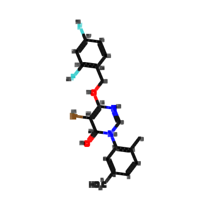 Cc1ccc(C(=O)O)cc1-n1cnc(OCc2ccc(F)cc2F)c(Br)c1=O